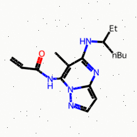 C=CC(=O)Nc1c(C)c(NC(CC)CCCC)nc2ccnn12